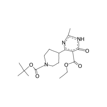 CCOC(=O)c1c(C2CCN(C(=O)OC(C)(C)C)CC2)nc(C)[nH]c1=O